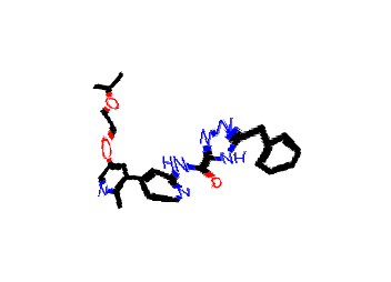 Cc1ncc(OCCOC(C)C)cc1-c1ccnc(NC(=O)c2nnc(Cc3ccccc3)[nH]2)c1